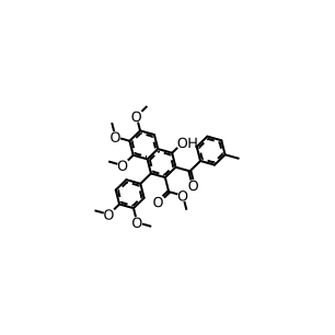 COC(=O)c1c(C(=O)c2cccc(C)c2)c(O)c2cc(OC)c(OC)c(OC)c2c1-c1ccc(OC)c(OC)c1